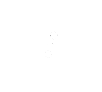 CCc1ccc(NC(=O)c2ccc(C(C)(C)C)cc2)cc1